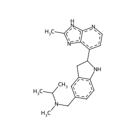 Cc1nc2c(C3Cc4cc(CN(C)C(C)C)ccc4N3)ccnc2[nH]1